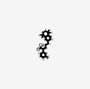 CC1(C)CCC(C)(C)c2cc(CCC=C(C(=O)O)c3cccc(F)c3)ccc21